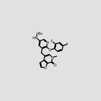 CCCCNc1cnc(Oc2ccc(F)cc2F)c(Cc2cn(C)c(=O)c3occc23)c1